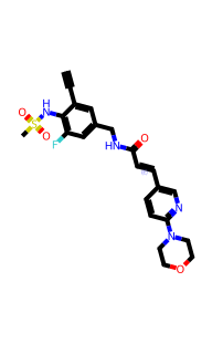 C#Cc1cc(CNC(=O)/C=C/c2ccc(N3CCOCC3)nc2)cc(F)c1NS(C)(=O)=O